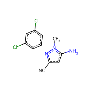 Clc1cccc(Cl)c1.N#Cc1cc(N)n(C(F)(F)F)n1